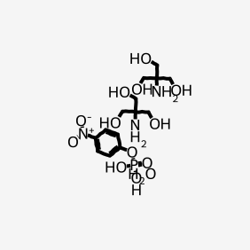 NC(CO)(CO)CO.NC(CO)(CO)CO.O.O=[N+]([O-])c1ccc(OP(=O)(O)O)cc1